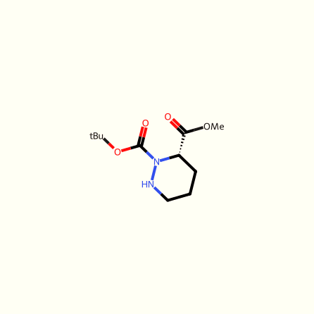 COC(=O)[C@@H]1CCCNN1C(=O)OC(C)(C)C